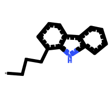 [CH2]CCCc1cccc2c1[nH]c1ccccc12